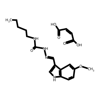 CCCCCNC(=O)NN=Cc1c[nH]c2ccc(OC)cc12.O=C(O)/C=C\C(=O)O